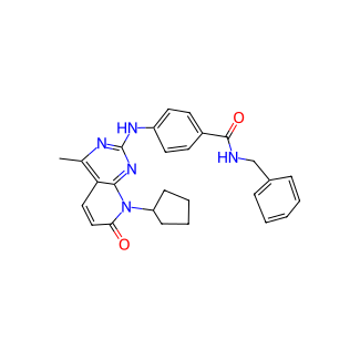 Cc1nc(Nc2ccc(C(=O)NCc3ccccc3)cc2)nc2c1ccc(=O)n2C1CCCC1